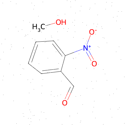 CO.O=Cc1ccccc1[N+](=O)[O-]